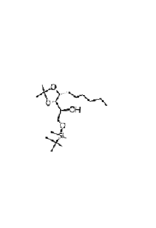 CCCCCC[C@H]1OC(C)(C)O[C@H]1[C@@H](O)CO[Si](C)(C)C(C)(C)C